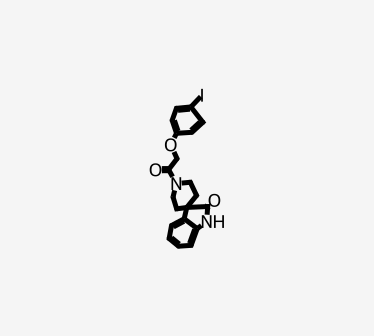 O=C(COc1ccc(I)cc1)N1CCC2(CC1)C(=O)Nc1ccccc12